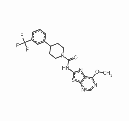 COc1ncnc2sc(NC(=O)N3CCC(c4cccc(C(F)(F)F)c4)CC3)nc12